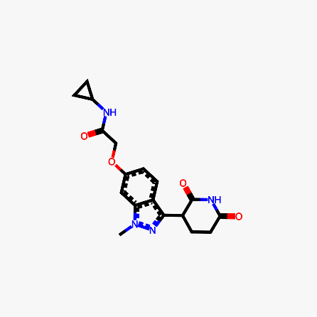 Cn1nc(C2CCC(=O)NC2=O)c2ccc(OCC(=O)NC3CC3)cc21